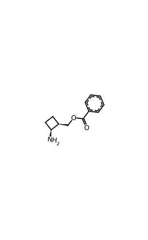 N[C@H]1CC[C@H]1COC(=O)c1ccccc1